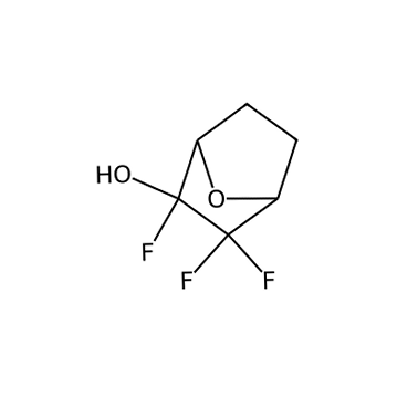 OC1(F)C2CCC(O2)C1(F)F